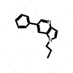 CCCn1ccc2ncc(-c3ccccc3)cc21